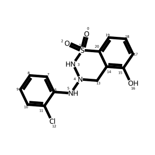 O=S1(=O)NN(Nc2ccccc2Cl)Cc2c(O)cccc21